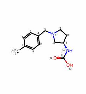 Cc1ccc(CN2CC[C@@H](NC(=O)O)C2)cc1